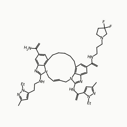 C=C(N)c1cc2c3c(c1)nc(NCCc1cc(C)nn1CC)n3C/C=C/Cn1c(NC(=C)c3cc(C)nn3CC)nc3cc(C(=C)NCCCN4CCC(F)(F)C4)cc(c31)CCCCC2